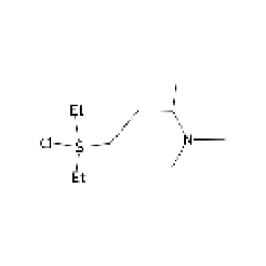 CCS(Cl)(CC)CCC(C)N(C)C